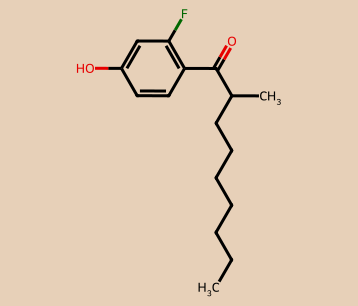 CCCCCCCC(C)C(=O)c1ccc(O)cc1F